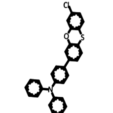 Clc1ccc2c(c1)Oc1cc(-c3ccc(N(c4ccccc4)c4ccccc4)cc3)ccc1S2